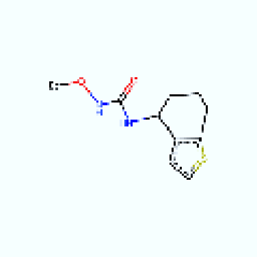 CCONC(=O)NC1CCCc2sccc21